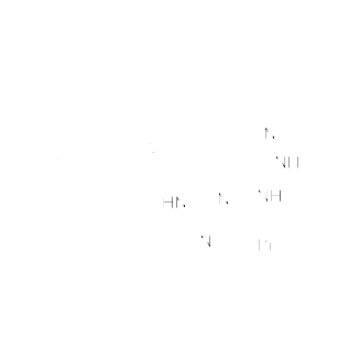 Brc1cnc(NCc2cc(C3=CC=CC4CC34)cs2)nc1Nc1cc(C2CC2)n[nH]1